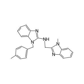 Cc1ccc(Cn2c(NCc3nc4ccccc4n3C)nc3ccccc32)cc1